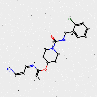 C=C(/N=C\C=C/N)OC1CCN(C(=O)NCc2ccccc2Cl)CC1